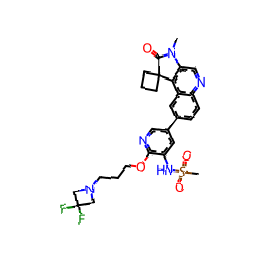 CN1C(=O)C2(CCC2)c2c1cnc1ccc(-c3cnc(OCCCN4CC(F)(F)C4)c(NS(C)(=O)=O)c3)cc21